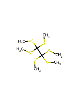 CSC(SC)(SC)C(SC)(SC)SC